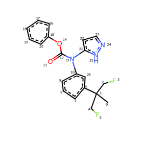 CC(CF)(CF)c1cccc(N(C(=O)Oc2ccccc2)c2ccn[nH]2)c1